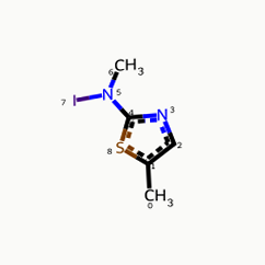 Cc1cnc(N(C)I)s1